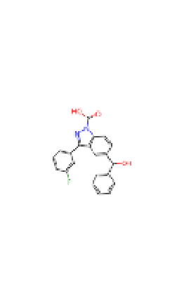 O=C(O)n1nc(-c2cccc(F)c2)c2cc(C(O)c3ccccc3)ccc21